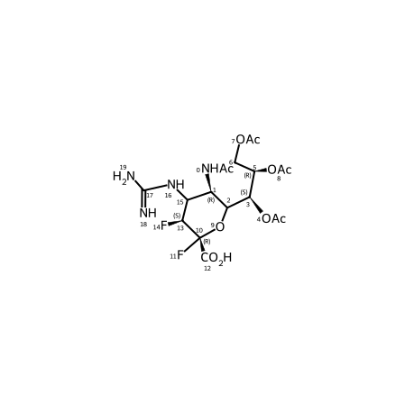 CC(=O)N[C@H]1C([C@H](OC(C)=O)[C@@H](COC(C)=O)OC(C)=O)O[C@@](F)(C(=O)O)[C@@H](F)C1NC(=N)N